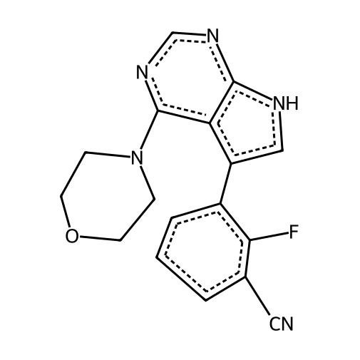 N#Cc1cccc(-c2c[nH]c3ncnc(N4CCOCC4)c23)c1F